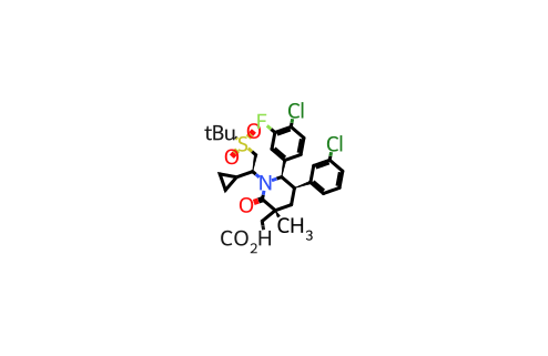 CC(C)(C)S(=O)(=O)C[C@H](C1CC1)N1C(=O)[C@@](C)(CC(=O)O)C[C@H](c2cccc(Cl)c2)[C@@H]1c1ccc(Cl)c(F)c1